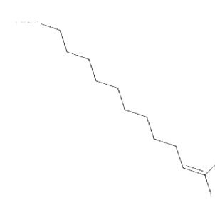 CCCCCCCCCCCCCCCCC=C(F)I